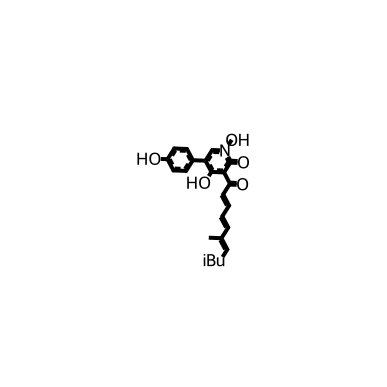 CCC(C)/C=C(C)/C=C/C=C/C(=O)c1c(O)c(-c2ccc(O)cc2)cn(O)c1=O